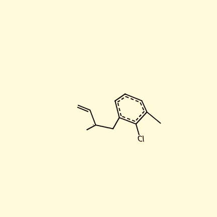 C=C[C](C)Cc1cccc(C)c1Cl